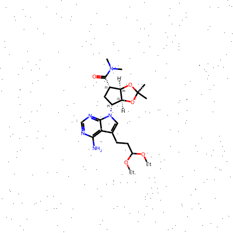 CCOC(CCc1cn([C@@H]2C[C@H](C(=O)N(C)C)[C@H]3OC(C)(C)O[C@H]32)c2ncnc(N)c12)OCC